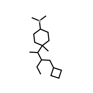 CCC(CC1CCC1)C(C)C1(C)CCC(N(C)C)CC1